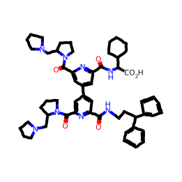 O=C(NCCC(c1ccccc1)c1ccccc1)c1cc(-c2cc(C(=O)NC(C(=O)O)C3CCCCC3)nc(C(=O)N3CCCC3CN3CCCC3)c2)cc(C(=O)N2CCCC2CN2CCCC2)n1